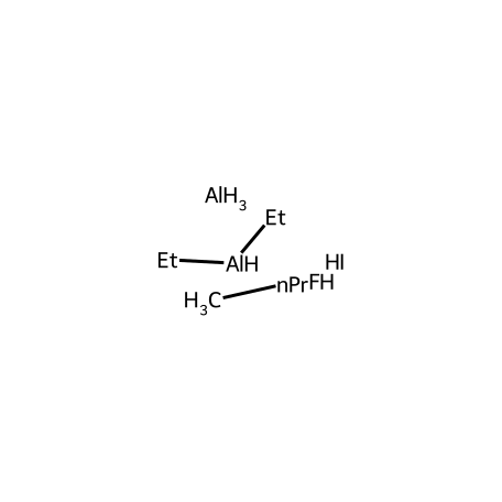 CCCC.C[CH2][AlH][CH2]C.F.I.[AlH3]